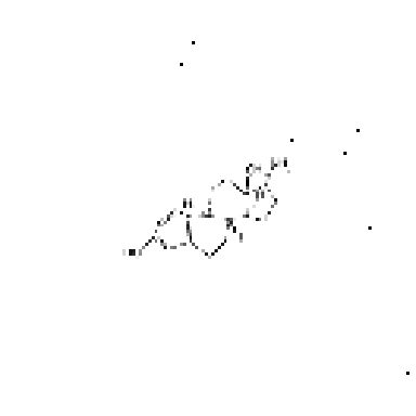 C[C@]12CC[C@@H]3c4ccc(O)cc4CC[C@H]3[C@@H]1CCC2N